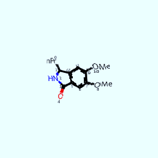 CCCC1NC(=O)c2cc(OC)c(OC)cc21